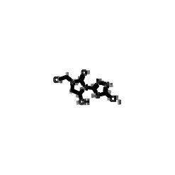 O=C1N(CCl)CC(O)N1c1nnc(C(F)(F)F)s1